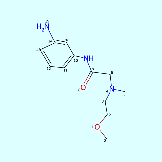 COCCN(C)CC(=O)Nc1cccc(N)c1